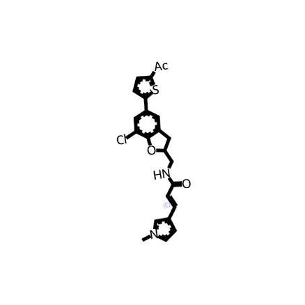 CC(=O)c1ccc(-c2cc(Cl)c3c(c2)CC(CNC(=O)/C=C/c2ccn(C)c2)O3)s1